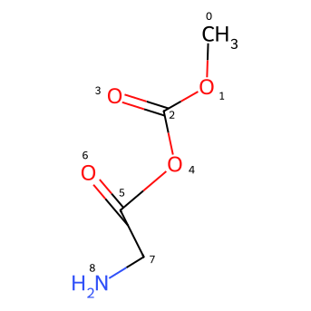 COC(=O)OC(=O)CN